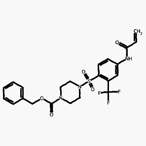 C=CC(=O)Nc1ccc(S(=O)(=O)N2CCN(C(=O)OCc3ccccc3)CC2)c(C(F)(F)F)c1